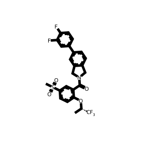 C[C@H](Oc1ccc(S(C)(=O)=O)cc1C(=O)N1Cc2ccc(-c3ccc(F)c(F)c3)cc2C1)C(F)(F)F